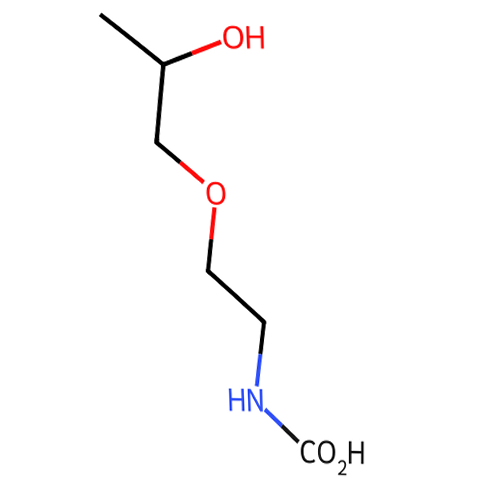 CC(O)COCCNC(=O)O